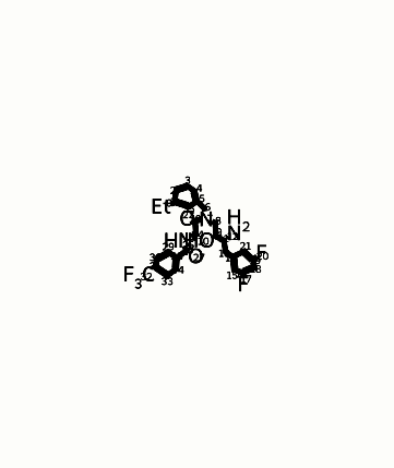 CCc1cccc(CN(C[C@@H](O)[C@@H](N)Cc2cc(F)cc(F)c2)C(=O)CNC(=O)c2ccc(C(F)(F)F)cc2)c1